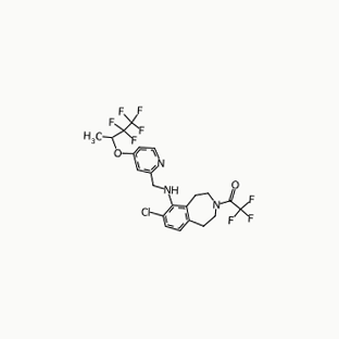 CC(Oc1ccnc(CNc2c(Cl)ccc3c2CCN(C(=O)C(F)(F)F)CC3)c1)C(F)(F)C(F)(F)F